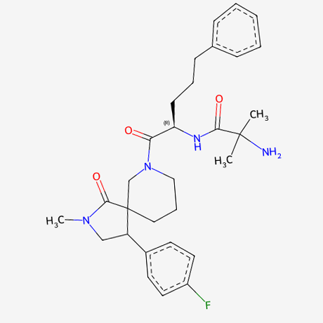 CN1CC(c2ccc(F)cc2)C2(CCCN(C(=O)[C@@H](CCCc3ccccc3)NC(=O)C(C)(C)N)C2)C1=O